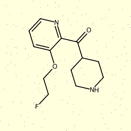 O=C(c1ncccc1OCCF)C1CCNCC1